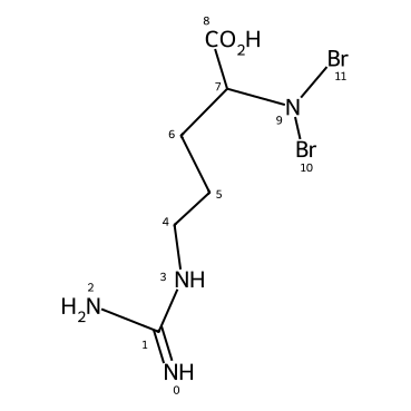 N=C(N)NCCCC(C(=O)O)N(Br)Br